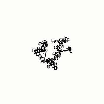 CCN[C@]1(O)C(=O)OCc2c1cc1n(c2=O)Cc2c-1nc1cc(F)c(C)c3c1c2[C@@H](NC(=O)COCNC(=O)CNC(=O)[C@H](Cc1ccccc1)NC(=O)CNC(=O)CNC(=O)[C@H](CCC(=O)NC[C@H]1O[C@@H](CC(N)=O)[C@H](O)[C@@H]1O)NC(=O)CCCCCN1C(=O)C=CC1=O)CC3